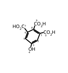 O=C(O)c1cc(O)cc(C(=O)O)c1C(=O)O